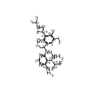 CCc1cc(C(C)Nc2ncnc(N)c2C(N)C(F)F)c(OC)c(C2CN(C(C)C)C2)c1C